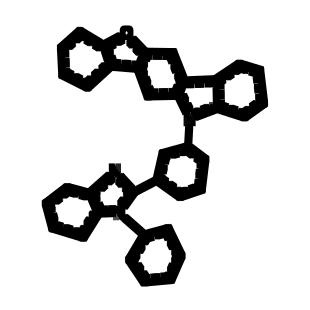 c1ccc(-n2c(-c3cccc(-n4c5ccccc5c5cc6oc7ccccc7c6cc54)c3)nc3ccccc32)cc1